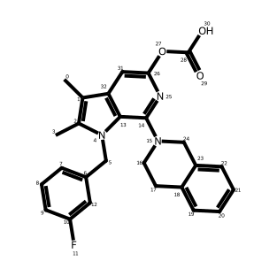 Cc1c(C)n(Cc2cccc(F)c2)c2c(N3CCc4ccccc4C3)nc(OC(=O)O)cc12